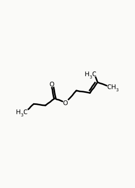 CCCC(=O)OCC=C(C)C